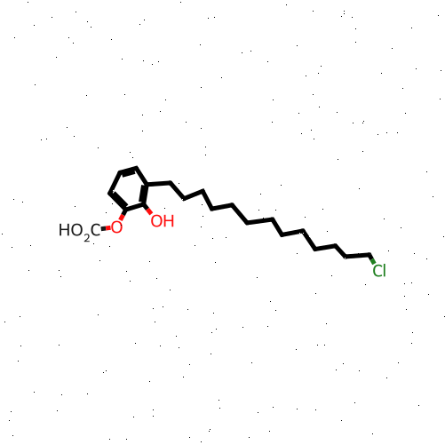 O=C(O)Oc1cccc(CCCCCCCCCCCCCCl)c1O